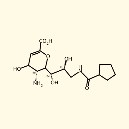 N[C@@H]1C(O)C=C(C(=O)O)OC1[C@@H](O)[C@@H](O)CNC(=O)C1CCCC1